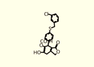 O=C(O)OC1=C(O)CC2=C(C(=O)OC2)C1c1ccc(SCc2cccc(Cl)c2)cc1